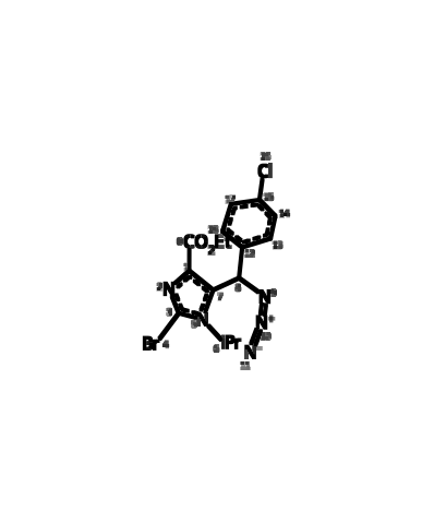 CCOC(=O)c1nc(Br)n(C(C)C)c1C(N=[N+]=[N-])c1ccc(Cl)cc1